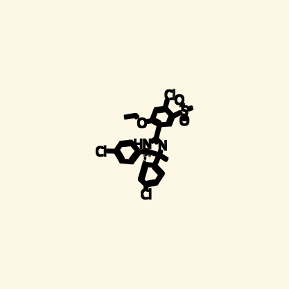 CCOc1cc(Cl)c(S(C)(=O)=O)cc1C1=NC(C)(c2ccc(Cl)cc2)[C@@](C)(c2ccc(Cl)cc2)N1